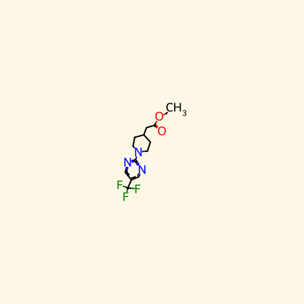 CCOC(=O)CC1CCN(c2ncc(C(F)(F)F)cn2)CC1